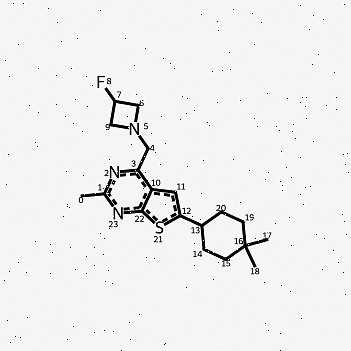 Cc1nc(CN2CC(F)C2)c2cc(C3CCC(C)(C)CC3)sc2n1